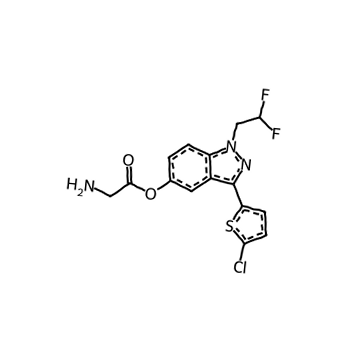 NCC(=O)Oc1ccc2c(c1)c(-c1ccc(Cl)s1)nn2CC(F)F